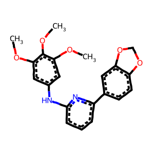 COc1cc(Nc2cccc(-c3ccc4c(c3)OCO4)n2)cc(OC)c1OC